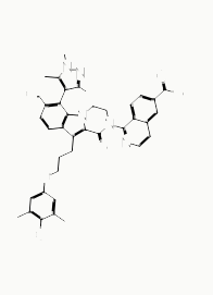 Cc1cc(OCCCc2c3n(c4c(-c5c(C)nn(C)c5C)c(Cl)ccc24)[C@H](C)CN(c2nccc4cc(C(=O)O)ccc24)C3=O)cc(C)c1Cl